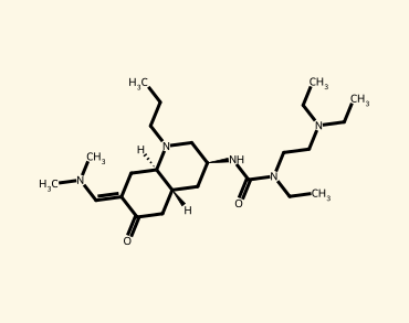 CCCN1C[C@@H](NC(=O)N(CC)CCN(CC)CC)C[C@@H]2CC(=O)C(=CN(C)C)C[C@H]21